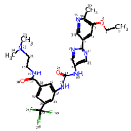 CCOc1cc(-c2ncc(NC(=O)Nc3cc(C(=O)NCCN(C)C)cc(C(F)(F)F)c3)cn2)cnc1C